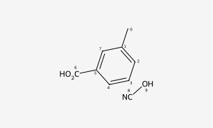 Cc1cccc(C(=O)O)c1.N#CO